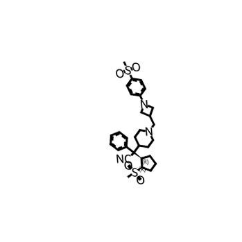 CS(=O)(=O)c1ccc(N2CC(CN3CCC(C(C#N)(c4ccccc4)[C@H]4CCC[C@H]4S(C)(=O)=O)CC3)C2)cc1